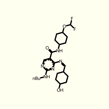 CCCCNc1ncc(C(=O)NC2CCC(OC(F)F)CC2)c(/N=C\C2CCC(O)CC2)n1